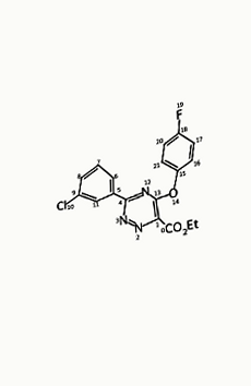 CCOC(=O)c1nnc(-c2cccc(Cl)c2)nc1Oc1ccc(F)cc1